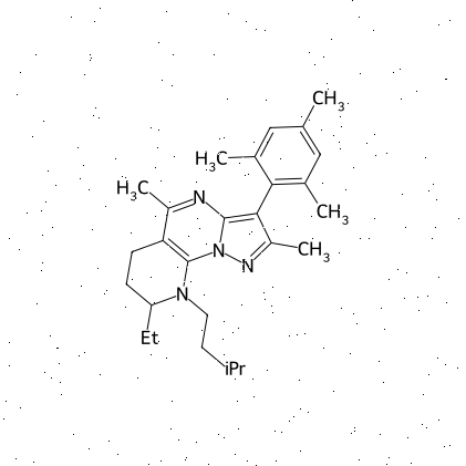 CCC1CCc2c(C)nc3c(-c4c(C)cc(C)cc4C)c(C)nn3c2N1CCC(C)C